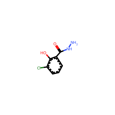 NNC(=O)c1cccc(Cl)c1O